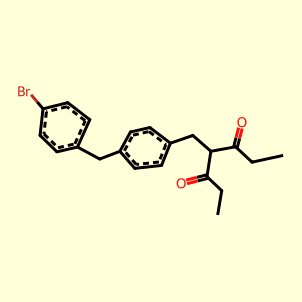 CCC(=O)C(Cc1ccc(Cc2ccc(Br)cc2)cc1)C(=O)CC